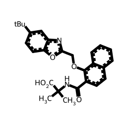 CC(C)(NC(=O)c1ccc2ccccc2c1OCc1nc2cc(C(C)(C)C)ccc2o1)C(=O)O